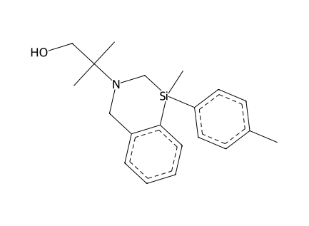 Cc1ccc([Si]2(C)CN(C(C)(C)CO)Cc3ccccc32)cc1